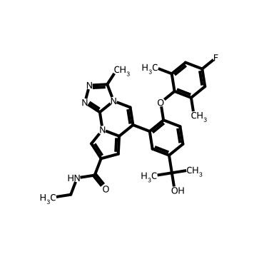 CCNC(=O)c1cc2c(-c3cc(C(C)(C)O)ccc3Oc3c(C)cc(F)cc3C)cn3c(C)nnc3n2c1